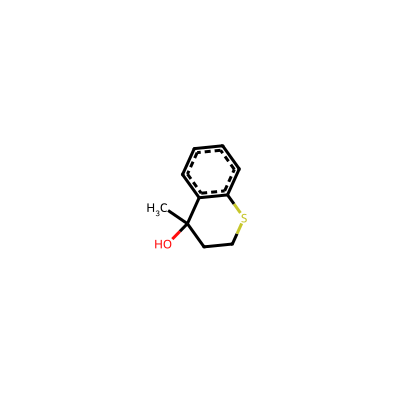 CC1(O)CCSc2ccccc21